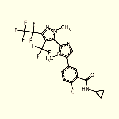 Cn1nc(C(F)(F)C(F)(F)F)c(C(F)(F)F)c1-c1ncc(-c2ccc(Cl)c(C(=O)NC3CC3)c2)n1C